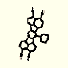 N#Cc1ccc2c3nc4c5ccc(C#N)c6c(C#N)ccc(c4c(-c4ccccc4)c3c3ccc(C#N)c1c23)c65